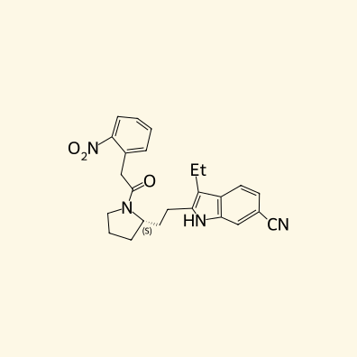 CCc1c(CC[C@@H]2CCCN2C(=O)Cc2ccccc2[N+](=O)[O-])[nH]c2cc(C#N)ccc12